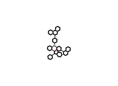 c1ccc(-c2c(-c3ccccc3N(c3ccc(-c4cccc5ccccc45)cc3)c3ccc(-c4cc5ccccc5c5ccccc45)cc3)oc3ccccc23)cc1